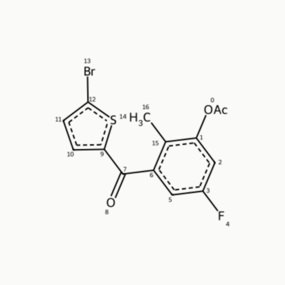 CC(=O)Oc1cc(F)cc(C(=O)c2ccc(Br)s2)c1C